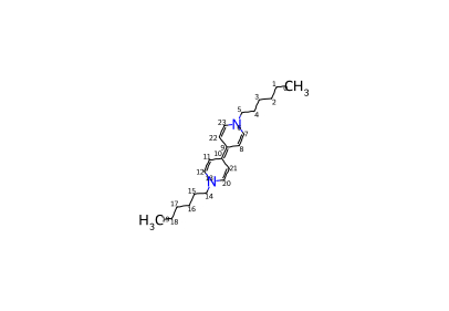 CCCCCCN1C=CC(=C2C=CN(CCCCCC)C=C2)C=C1